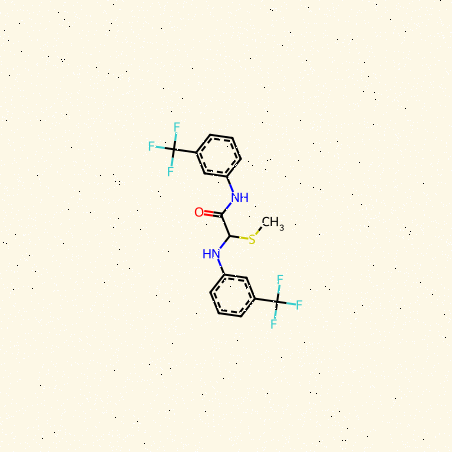 CSC(Nc1cccc(C(F)(F)F)c1)C(=O)Nc1cccc(C(F)(F)F)c1